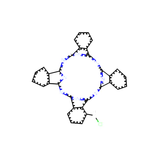 ClBc1cccc2c3nc4nc(nc5[nH]c(nc6nc(nc([nH]3)c12)-c1ccccc1-6)c1ccccc51)-c1ccccc1-4